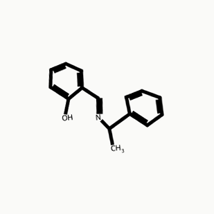 CC(N=Cc1ccccc1O)c1ccccc1